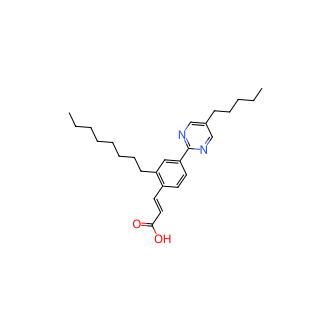 CCCCCCCCc1cc(-c2ncc(CCCCC)cn2)ccc1C=CC(=O)O